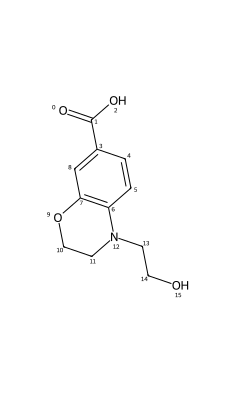 O=C(O)c1ccc2c(c1)OCCN2CCO